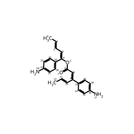 C/C=C/C=C(/OC(=O)/[C]=C(\C=C\C)c1ccc(N)cc1)c1ccc(N)cc1